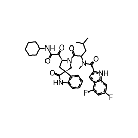 CC(C)CC(C(=O)N1C[C@]2(C[C@H]1C(=O)C(=O)NC1CCCCC1)C(=O)Nc1ccccc12)N(C)C(=O)c1cc2c(F)cc(F)cc2[nH]1